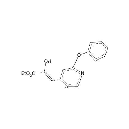 CCOC(=O)C(O)=Cc1cc(Oc2ccccc2)ncn1